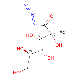 CC(=O)[C@@](O)(C(=O)N=[N+]=[N-])[C@@H](O)[C@H](O)[C@H](O)CO